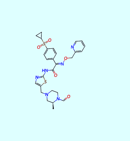 C[C@H]1CN(Cc2cnc(NC(=O)/C(=N/OCc3ccccn3)c3ccc(S(=O)(=O)C4CC4)cc3)s2)CCN1C=O